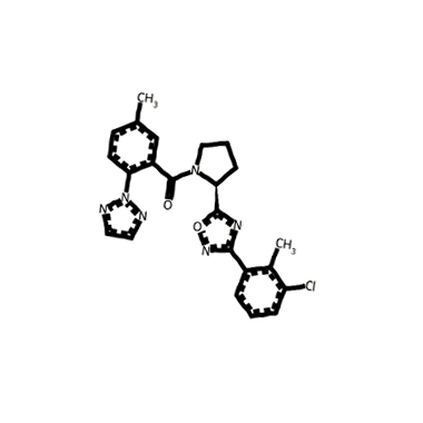 Cc1ccc(-n2nccn2)c(C(=O)N2CCC[C@H]2c2nc(-c3cccc(Cl)c3C)no2)c1